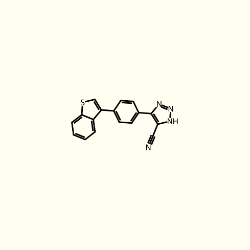 N#Cc1[nH]nnc1-c1ccc(-c2csc3ccccc23)cc1